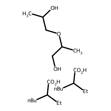 CC(O)COC(C)CO.CCCCC(CC)C(=O)O.CCCCC(CC)C(=O)O